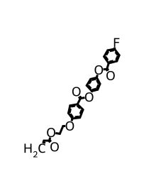 C=CC(=O)OCCOc1ccc(C(=O)Oc2ccc(OC(=O)c3ccc(F)cc3)cc2)cc1